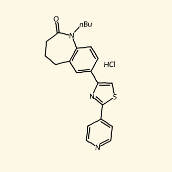 CCCCN1C(=O)CCCc2cc(-c3csc(-c4ccncc4)n3)ccc21.Cl